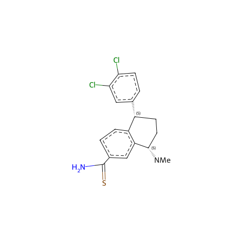 CN[C@H]1CC[C@@H](c2ccc(Cl)c(Cl)c2)c2ccc(C(N)=S)cc21